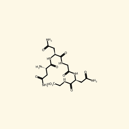 NC(=O)C[C@H](NC(=O)CNC(=O)[C@H](CC(N)=O)NC(=O)[C@@H](N)CC(N)=O)C(=O)NCC(=O)O